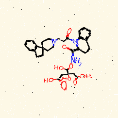 NC(=O)C1CCc2ccccc2N1C(=O)CCN1CCC2(CCc3ccccc32)CC1.O=C(O)CC(O)(CC(=O)O)C(=O)O